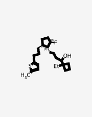 CCC1(C(O)CCC[C@@H]2[C@@H](CCCc3ccc(C)s3)CC[C@H]2F)CCC1